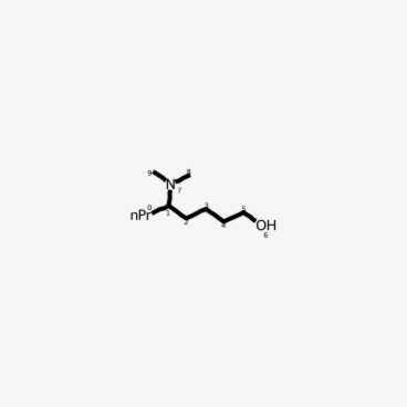 CCCC(CCCCO)N(C)C